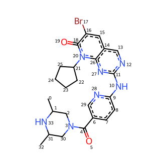 CC1CN(C(=O)c2ccc(Nc3ncc4cc(Br)c(=O)n(C5CCCC5)c4n3)nc2)CC(C)N1